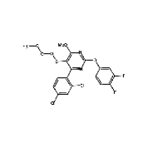 COc1nc(Oc2ccc(F)c(F)c2)nc(-c2ccc(Cl)cc2Cl)c1SOOOC(F)(F)F